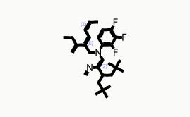 C=N/C(=C\N(C/C(=C/C=C\C)C(=C)CC)c1ccc(F)c(F)c1F)C(CC(C)(C)C)CC(C)(C)C